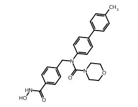 Cc1ccc(-c2ccc(N(Cc3ccc(C(=O)NO)cc3)C(=O)N3CCOCC3)cc2)cc1